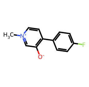 C[n+]1ccc(-c2ccc(F)cc2)c([O-])c1